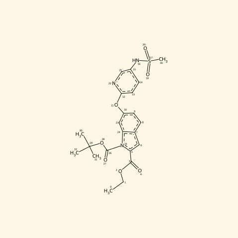 CCOC(=O)c1cc2ccc(Oc3ccc(NS(C)(=O)=O)cn3)cc2n1C(=O)OC(C)(C)C